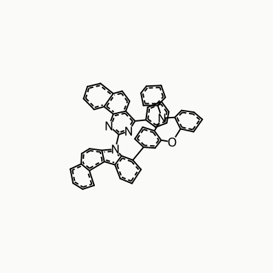 c1ccc(-c2nc(-n3c4ccc5ccccc5c4c4cccc(-c5ccc6c(c5)Oc5ccccc5N6c5ccccc5)c43)nc3c2ccc2ccccc23)cc1